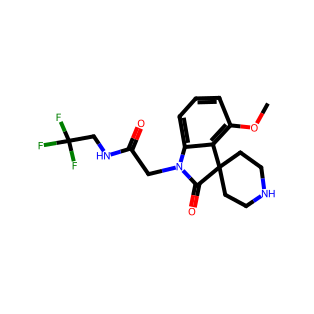 COc1cccc2c1C1(CCNCC1)C(=O)N2CC(=O)NCC(F)(F)F